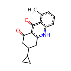 Cc1cccc2[nH]c3c(c(=O)c12)C(=O)CC(C1CC1)C3